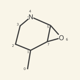 CC1CC[N]C2OC12